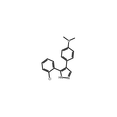 CN(C)c1ccc(-c2cn[nH]c2-c2ccccc2Cl)cc1